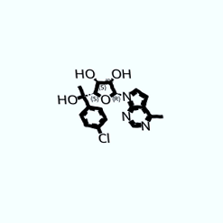 Cc1ncnc2c1ccn2[C@@H]1O[C@H](C(C)(O)c2ccc(Cl)cc2)[C@@H](O)[C@H]1O